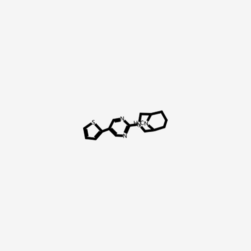 CN1C2CCCC1CN(c1ncc(-c3cccs3)cn1)C2